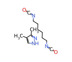 Cc1c[nH]nc1C.O=C=NCCCCCCN=C=O